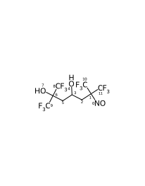 O=NC(CC(O)CC(O)(C(F)(F)F)C(F)(F)F)(C(F)(F)F)C(F)(F)F